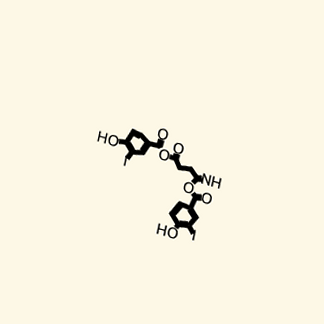 N=C(CCC(=O)OC(=O)c1ccc(O)c(I)c1)OC(=O)c1ccc(O)c(I)c1